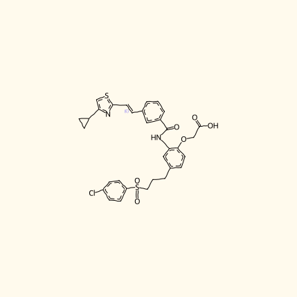 O=C(O)COc1ccc(CCCS(=O)(=O)c2ccc(Cl)cc2)cc1NC(=O)c1cccc(/C=C/c2nc(C3CC3)cs2)c1